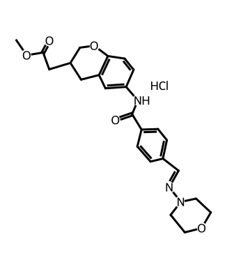 COC(=O)CC1COc2ccc(NC(=O)c3ccc(/C=N/N4CCOCC4)cc3)cc2C1.Cl